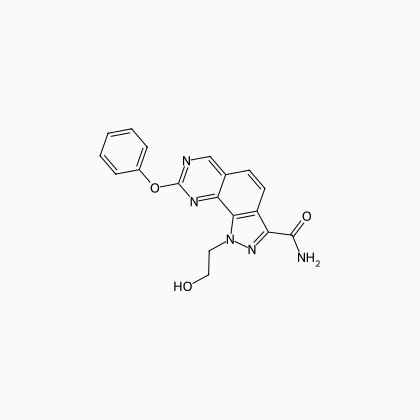 NC(=O)c1nn(CCO)c2c1ccc1cnc(Oc3ccccc3)nc12